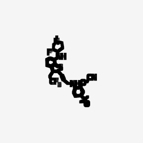 CN1CCC(Nc2cccc3c(CC(F)(F)F)c(C#CCNc4ccc(P(C)(C)=O)cc4OCC#N)sc23)[C@H](F)C1